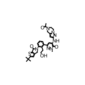 CC(=O)N1CCn2nc(Nc3cc(-c4cccc(N5Cc6cc(C(C)(C)C)sc6C5=O)c4CCO)nn(C)c3=O)cc2C1